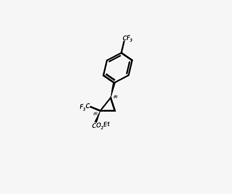 CCOC(=O)[C@]1(C(F)(F)F)C[C@@H]1c1ccc(C(F)(F)F)cc1